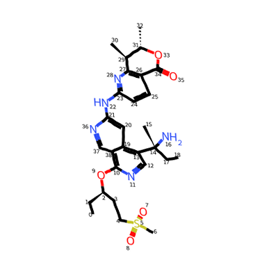 CC[C@H](CCS(C)(=O)=O)Oc1ncc([C@](C)(N)CC)c2cc(Nc3ccc4c(n3)[C@@H](C)[C@H](C)OC4=O)ncc12